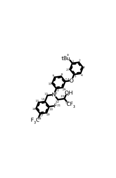 CC(C)(C)c1cccc(Oc2cccc(N(Cc3ccc(C(F)(F)F)cc3F)CC(O)C(F)(F)F)c2)c1